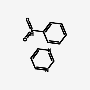 O=[SH](=O)c1ccccc1.c1cncnc1